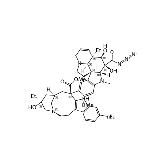 CCCCc1ccc2c3c([nH]c2c1)[C@@](C(=O)OC)(c1cc2c(cc1OC)N(C)[C@H]1[C@@](O)(C(=O)N=[N+]=[N-])[C@H](O)[C@]4(CC)C=CCN5CC[C@]21[C@@H]54)C[C@H]1C[N@@](CC3)C[C@](O)(CC)C1